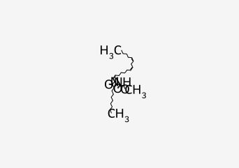 CCCCC/C=C\C/C=C\CCCC/C=C\N(NC(=O)COC)C(=O)CCCCCCCCC